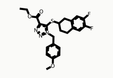 CCOC(=O)c1nnn(Cc2ccc(OC)cc2)c1SC1CCc2cc(F)c(F)cc2C1